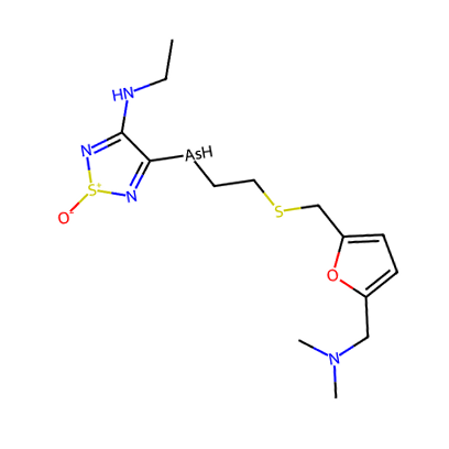 CCNc1n[s+]([O-])nc1[AsH]CCSCc1ccc(CN(C)C)o1